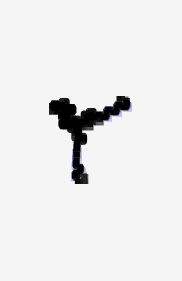 CC/C=C\C/C=C\C/C=C\C/C=C\C/C=C\C/C=C\CC(=O)NC(=O)CCNC(=O)[C@H](OC(=O)c1ccccc1OC(=O)c1ccccc1OC(=O)c1cccnc1)C(C)(C)COC(=O)CCC/C=C/C=C/C/C=C\C/C=C\C/C=C\CC